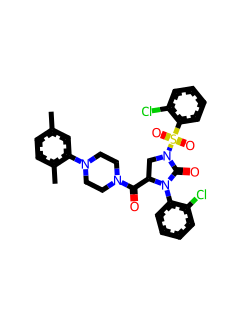 Cc1ccc(C)c(N2CCN(C(=O)C3CN(S(=O)(=O)c4ccccc4Cl)C(=O)N3c3ccccc3Cl)CC2)c1